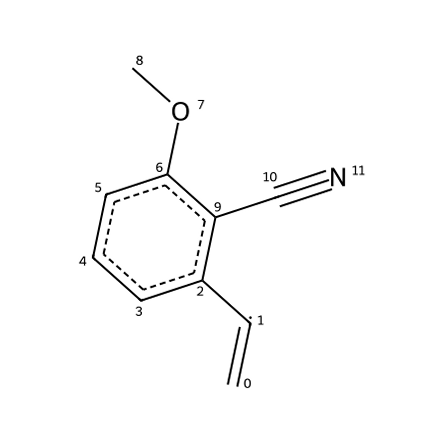 C=[C]c1cccc(OC)c1C#N